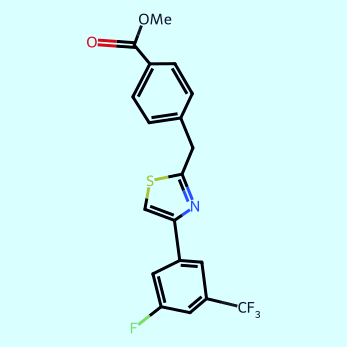 COC(=O)c1ccc(Cc2nc(-c3cc(F)cc(C(F)(F)F)c3)cs2)cc1